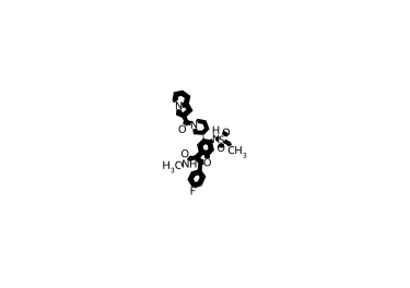 CCS(=O)(=O)Nc1cc2oc(-c3ccc(F)cc3)c(C(=O)NC)c2cc1[C@H]1CCCN(C(=O)c2cc3ccccn3c2)C1